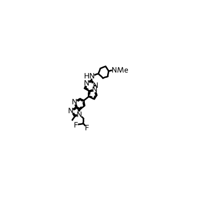 CNC1CCC(Nc2ncc3c(-c4cnc5nc(C)n(CC(F)F)c5c4)ccn3n2)CC1